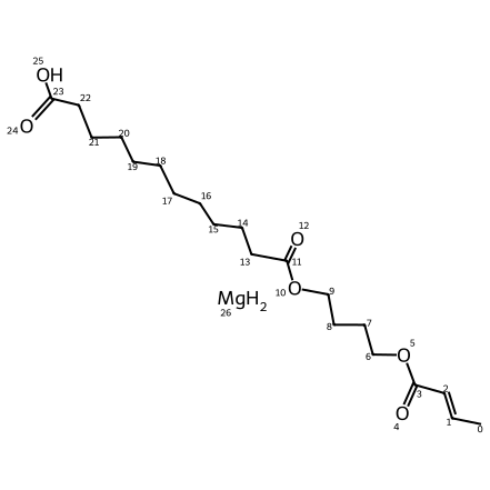 CC=CC(=O)OCCCCOC(=O)CCCCCCCCCCC(=O)O.[MgH2]